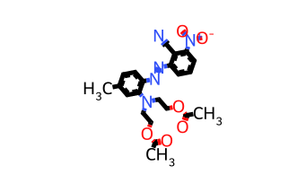 CC(=O)OCCN(CCOC(C)=O)c1cc(C)ccc1N=Nc1cccc([N+](=O)[O-])c1C#N